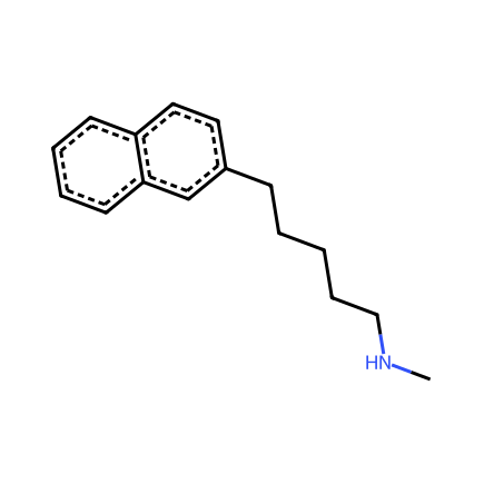 CNCCCCCc1ccc2ccccc2c1